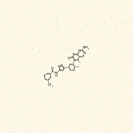 Cc1ccc(-c2cn(NC(=O)c3cccc(C(F)(F)F)c3)nn2)cc1-n1c(C)c2cnc(N)nc2nc1=O